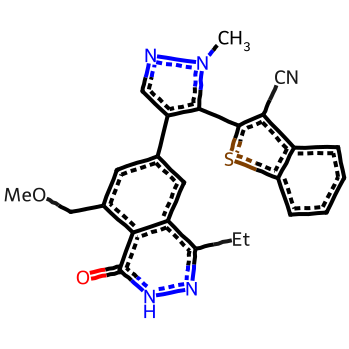 CCc1n[nH]c(=O)c2c(COC)cc(-c3cnn(C)c3-c3sc4ccccc4c3C#N)cc12